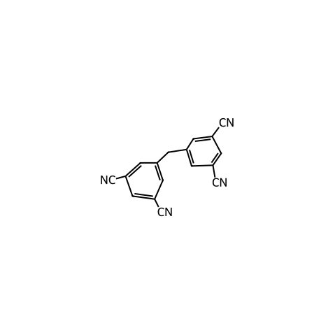 N#Cc1cc(C#N)cc(Cc2cc(C#N)cc(C#N)c2)c1